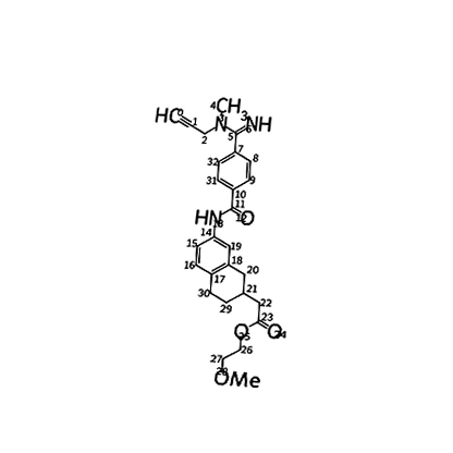 C#CCN(C)C(=N)c1ccc(C(=O)Nc2ccc3c(c2)CC(CC(=O)OCCOC)CC3)cc1